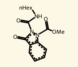 CCCCCCNC(=O)n1c(=O)c2ccccc2n1C(=O)OC